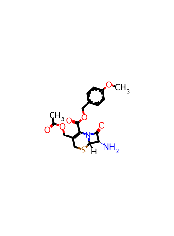 COc1ccc(COC(=O)C2=C(COC(C)=O)CS[C@H]3[C@@H](N)C(=O)N23)cc1